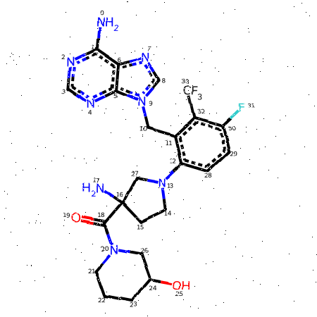 Nc1ncnc2c1ncn2Cc1c(N2CCC(N)(C(=O)N3CCCC(O)C3)C2)ccc(F)c1C(F)(F)F